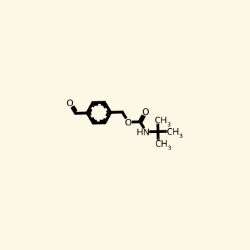 CC(C)(C)NC(=O)OCc1ccc(C=O)cc1